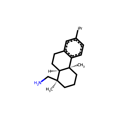 CC(C)c1ccc2c(c1)CC[C@@H]1[C@](C)(CN)CCC[C@]21C